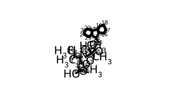 CC[C@H](C)[C@H](NC(=O)[C@@](C)(C(=O)OCC1c2ccccc2-c2ccccc21)C(C)C)[C@@H](CC(=O)O)OC